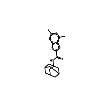 Cc1cc(C)c2cc(C(=O)NC34CC5CC(CC(C5)C3)C4)oc2c1